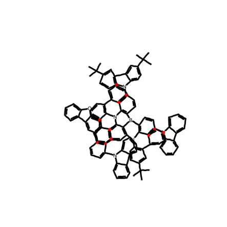 CC(C)(C)c1ccc(N2c3cc(-n4c5ccccc5c5ccccc54)ccc3B3c4ccc(-n5c6ccc(C(C)(C)C)cc6c6cc(C(C)(C)C)ccc65)cc4N(c4c(-c5ccccc5)cccc4-c4ccccc4)c4cc(-c5c(-c6ccc7oc8ccccc8c7c6)cccc5-n5c6ccccc6c6ccccc65)cc2c43)c(-c2ccccc2)c1